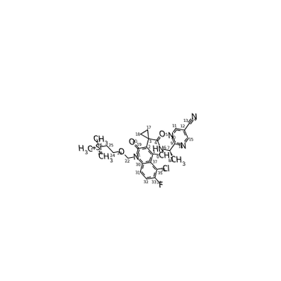 Cc1c(C2(C(=O)N[C@H](C)c3ncc(C#N)cn3)CC2)c(=O)n(COCC[Si](C)(C)C)c2ccc(F)c(Cl)c12